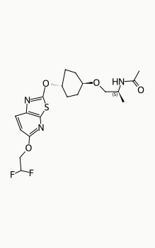 CC(=O)N[C@@H](C)CO[C@H]1CC[C@H](Oc2nc3ccc(OCC(F)F)nc3s2)CC1